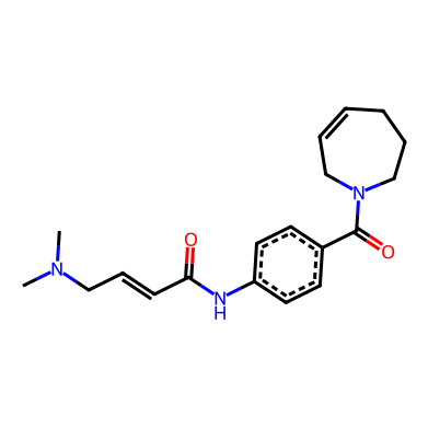 CN(C)C/C=C/C(=O)Nc1ccc(C(=O)N2CC=CCCC2)cc1